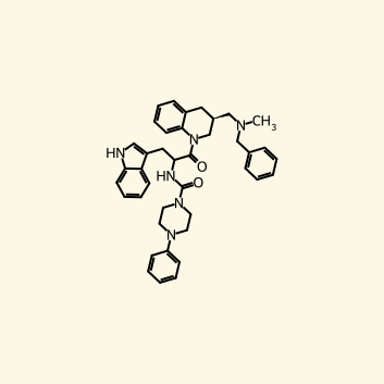 CN(Cc1ccccc1)C[C@@H]1Cc2ccccc2N(C(=O)C(Cc2c[nH]c3ccccc23)NC(=O)N2CCN(c3ccccc3)CC2)C1